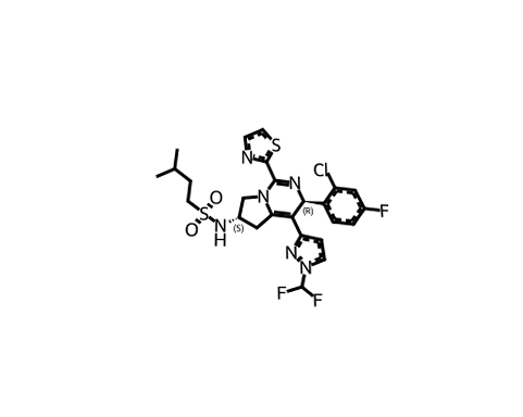 CC(C)CCS(=O)(=O)N[C@H]1CC2=C(c3ccn(C(F)F)n3)[C@H](c3ccc(F)cc3Cl)N=C(c3nccs3)N2C1